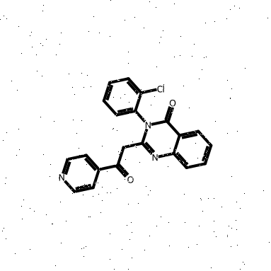 O=C(Cc1nc2ccccc2c(=O)n1-c1ccccc1Cl)c1ccncc1